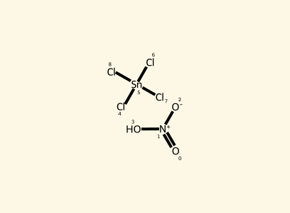 O=[N+]([O-])O.[Cl][Sn]([Cl])([Cl])[Cl]